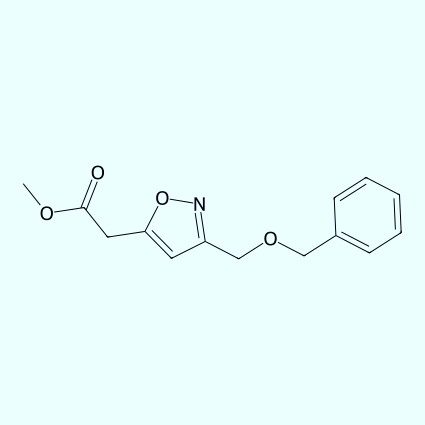 COC(=O)Cc1cc(COCc2ccccc2)no1